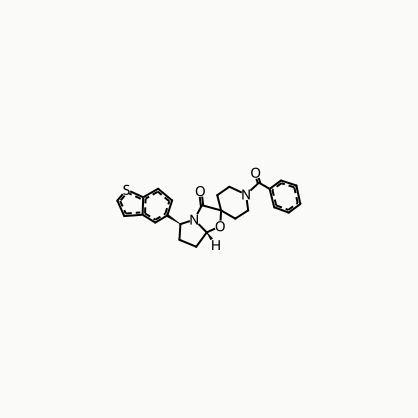 O=C(c1ccccc1)N1CCC2(CC1)O[C@@H]1CC[C@@H](c3ccc4sccc4c3)N1C2=O